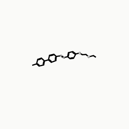 CCOCCOc1ccc(N=Nc2ccc(-c3ccc(C)cc3)cc2)cc1